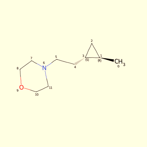 C[C@@H]1C[C@H]1CCN1CCOCC1